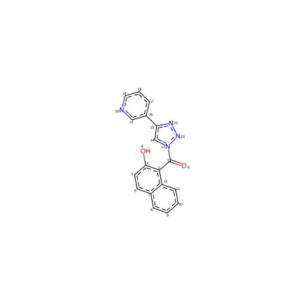 O=C(c1c(O)ccc2ccccc12)n1cc(-c2cccnc2)nn1